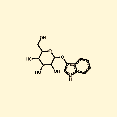 OCC1O[C@H](Oc2c[nH]c3ccccc23)C(O)[C@@H](O)[C@@H]1O